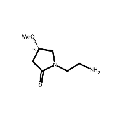 CO[C@H]1CC(=O)N(CCN)C1